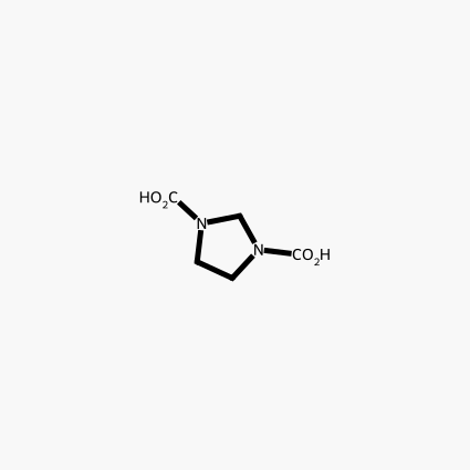 O=C(O)N1CCN(C(=O)O)C1